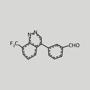 O=Cc1cccc(-c2cnnc3c(C(F)(F)F)cccc23)c1